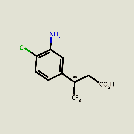 Nc1cc([C@@H](CC(=O)O)C(F)(F)F)ccc1Cl